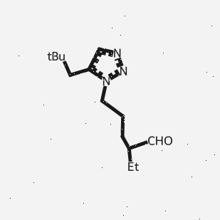 CCC(C=O)CCCn1nncc1CC(C)(C)C